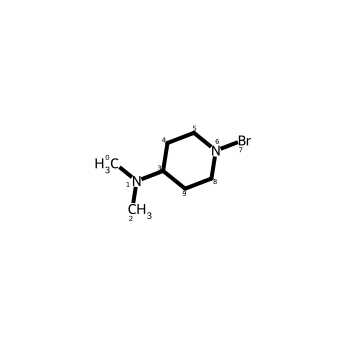 CN(C)C1CCN(Br)CC1